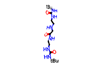 CC(C)(C)NC(=O)NCCNCC(=O)NCCNC(=O)NC(C)(C)C